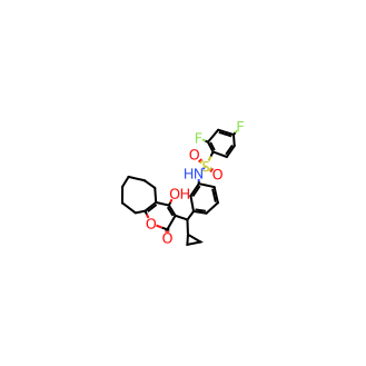 O=c1oc2c(c(O)c1C(c1cccc(NS(=O)(=O)c3ccc(F)cc3F)c1)C1CC1)CCCCCC2